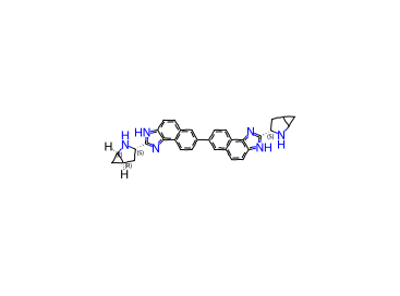 c1cc2c(ccc3[nH]c([C@@H]4CC5CC5N4)nc32)cc1-c1ccc2c(ccc3[nH]c([C@@H]4C[C@H]5C[C@H]5N4)nc32)c1